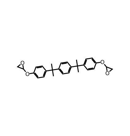 CC(C)(c1ccc(OC2CO2)cc1)c1ccc(C(C)(C)c2ccc(OC3CO3)cc2)cc1